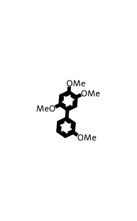 [CH2]Oc1cccc(-c2cc(OC)c(OC)cc2OC)c1